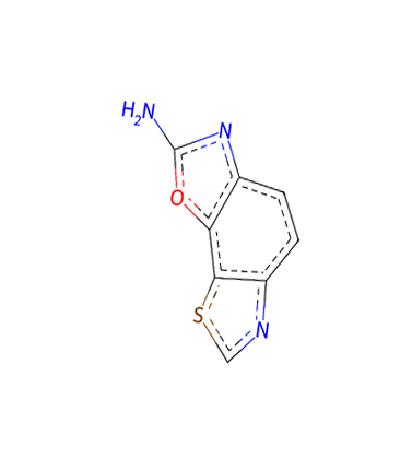 Nc1nc2ccc3ncsc3c2o1